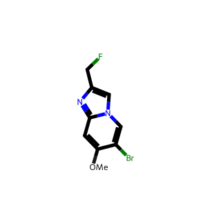 COc1cc2nc(CF)cn2cc1Br